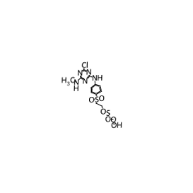 CNc1nc(Cl)nc(Nc2ccc(S(=O)(=O)CCOSOOO)cc2)n1